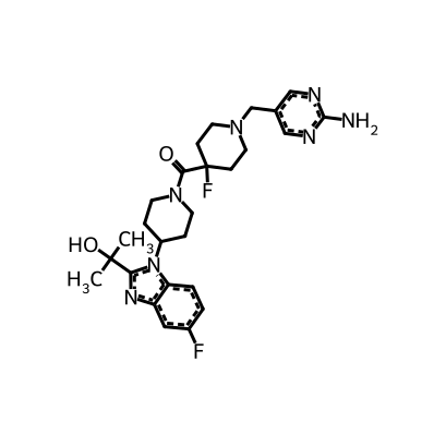 CC(C)(O)c1nc2cc(F)ccc2n1C1CCN(C(=O)C2(F)CCN(Cc3cnc(N)nc3)CC2)CC1